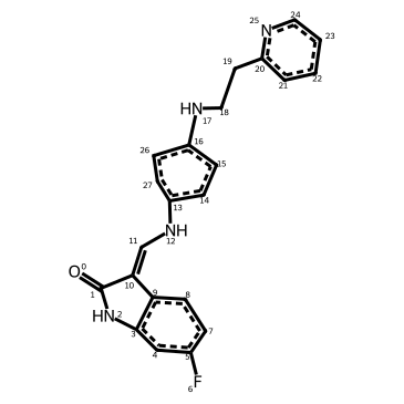 O=C1Nc2cc(F)ccc2/C1=C\Nc1ccc(NCCc2ccccn2)cc1